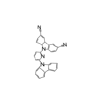 N#CC1=CC2c3cc(C#N)ccc3N(c3cccc(-n4c5ccccc5c5ccccc54)n3)C2C=C1